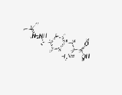 CC(C)=NNCc1ccc(CC(N)C(=O)O)cc1